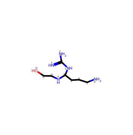 N=C(N)NC(CCCN)NCCO